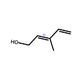 C=C/C(C)=C/CO